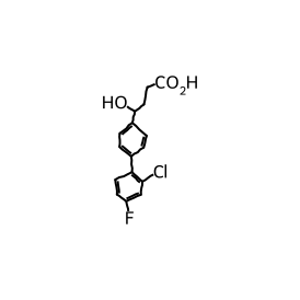 O=C(O)CCC(O)c1ccc(-c2ccc(F)cc2Cl)cc1